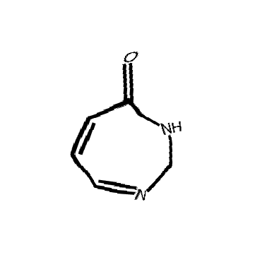 O=C1C=CC=NCN1